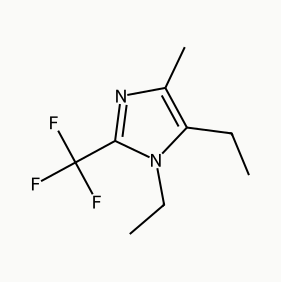 CCc1c(C)nc(C(F)(F)F)n1CC